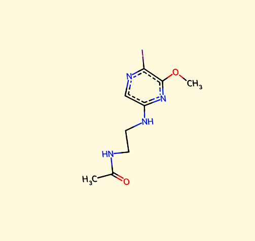 COc1nc(NCCNC(C)=O)cnc1I